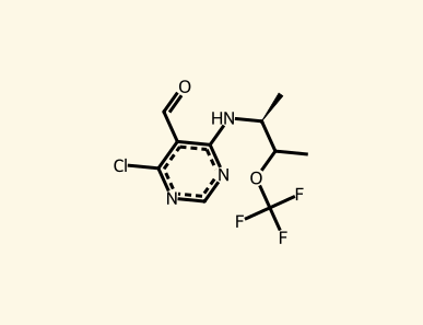 CC(OC(F)(F)F)[C@H](C)Nc1ncnc(Cl)c1C=O